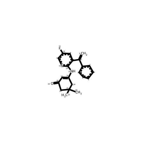 C=C(c1ccccc1)c1cc(F)cnc1NC1=CC(=O)CC(C)(C)C1